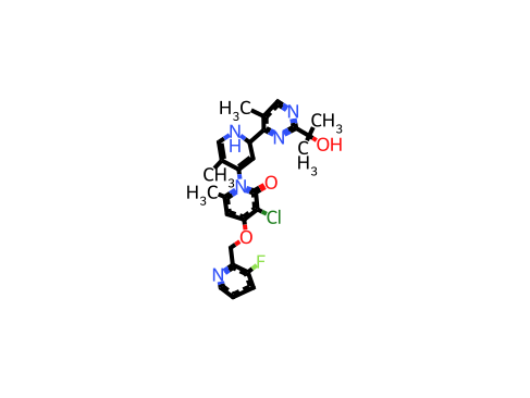 CC1=CNC(c2nc(C(C)(C)O)ncc2C)C=C1n1c(C)cc(OCc2ncccc2F)c(Cl)c1=O